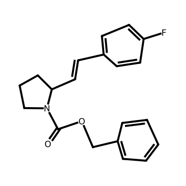 O=C(OCc1ccccc1)N1CCCC1C=Cc1ccc(F)cc1